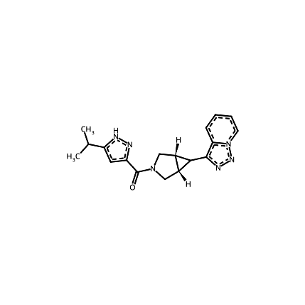 CC(C)c1cc(C(=O)N2C[C@@H]3C(c4nnn5ccccc45)[C@@H]3C2)n[nH]1